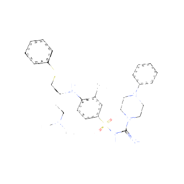 CN(C)CC[C@H](CSc1ccccc1)Nc1ccc(S(=O)(=O)NC(=N)N2CCN(c3ccccc3)CC2)cc1[N+](=O)[O-]